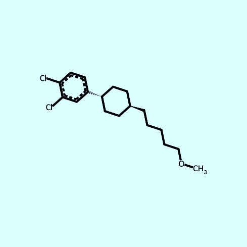 COCCCCC[C@H]1CC[C@H](c2ccc(Cl)c(Cl)c2)CC1